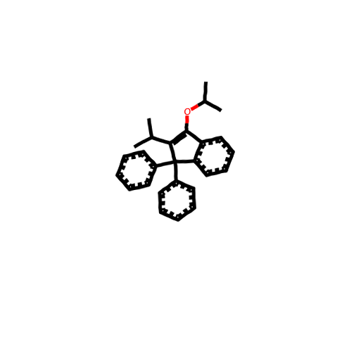 CC(C)OC1=C(C(C)C)C(c2ccccc2)(c2ccccc2)c2ccccc21